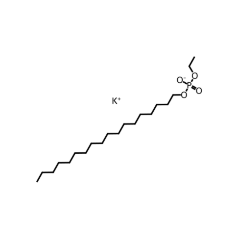 CCCCCCCCCCCCCCCCCCOP(=O)([O-])OCC.[K+]